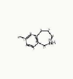 Cc1ccc2c(c1)CCCNC2